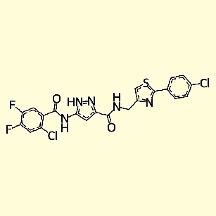 O=C(NCc1csc(-c2ccc(Cl)cc2)n1)c1cc(NC(=O)c2cc(F)c(F)cc2Cl)[nH]n1